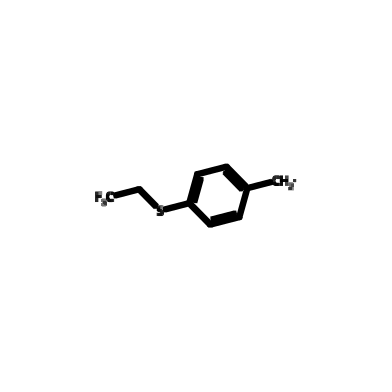 [CH2]c1ccc(SCC(F)(F)F)cc1